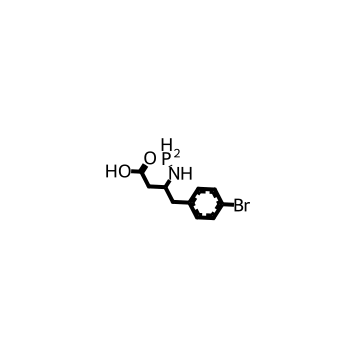 O=C(O)CC(Cc1ccc(Br)cc1)NP